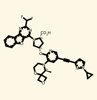 C[C@@H]1N(c2cc(C#Cc3ccn(C4CC4)n3)cnc2O[C@H]2C[C@@H](C(=O)O)N(c3nc(C(F)F)nc4c3oc3ccccc34)C2)CCOC12COC2